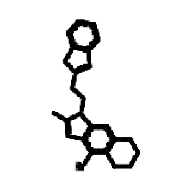 CC1=Cc2c(cc3c(c2Br)CCCC3)C1CCC1=Cc2ccccc2C1